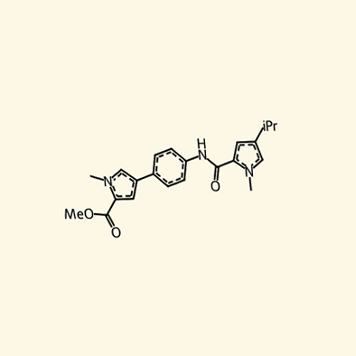 COC(=O)c1cc(-c2ccc(NC(=O)c3cc(C(C)C)cn3C)cc2)cn1C